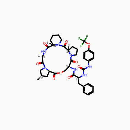 C[C@@H]1CC2C(=O)OC[C@H](NC(=O)[C@H](Cc3ccccc3)NC(=O)Nc3ccc(OC(F)(F)F)cc3)C(=O)N3CCC[C@H]3C(=O)N3CCCC[C@H]3C(=O)N[C@@H](C)C(=O)N2C1